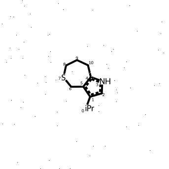 CC(C)c1c[nH]c2c1CSCCC2